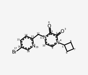 O=c1c(=O)n(C2CCC2)ccn1Cc1ccc(Br)cn1